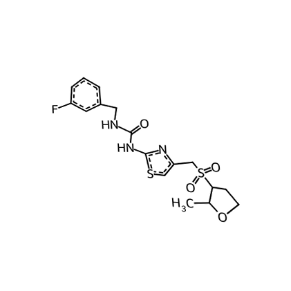 CC1OCCC1S(=O)(=O)Cc1csc(NC(=O)NCc2cccc(F)c2)n1